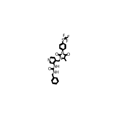 CC1C(=O)N(c2ccc(SC(F)(F)F)cc2)C(=O)N1Cc1ccncc1NC(=O)NCc1ccccc1